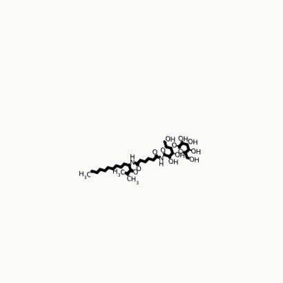 CCCCCCCCCCC(NC(=O)CCCCC(=O)N[C@@H]1OC(CO)[C@@H](O[C@@H]2OC(CO)[C@H](O)[C@H](O)C2O)[C@H](O)C1O)C(=O)C(C)C